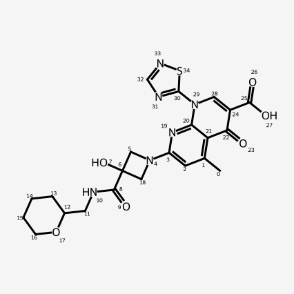 Cc1cc(N2CC(O)(C(=O)NCC3CCCCO3)C2)nc2c1c(=O)c(C(=O)O)cn2-c1ncns1